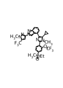 CC[P@](C)(=O)c1ccc(-c2nc(-c3cccc4nn(-c5cc(C(F)(F)F)n(C)n5)cc34)c(C3CC3)n2C)c(OC(F)(F)F)c1